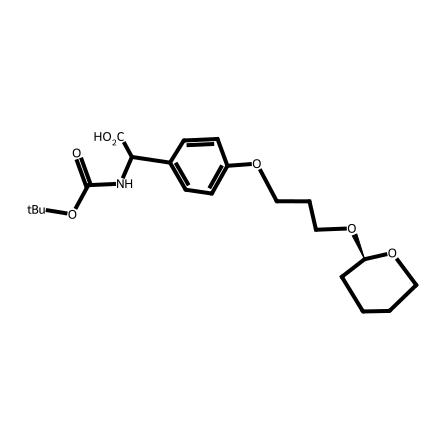 CC(C)(C)OC(=O)NC(C(=O)O)c1ccc(OCCCO[C@@H]2CCCCO2)cc1